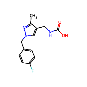 Cc1nn(Cc2ccc(F)cc2)cc1CNC(=O)O